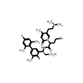 Cc1cc(-c2c(C)cc(F)cc2C)cc([C@H](CC(=O)O)NC(=O)C(CCC(C)C)n2cc(CCN(C)C)c(C(F)(F)F)cc2=O)c1F